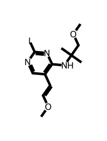 CO/C=C/c1cnc(I)nc1NC(C)(C)COC